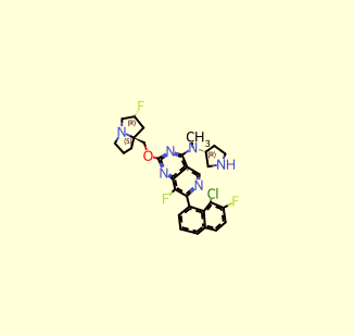 CN(c1nc(OC[C@@]23CCCN2C[C@H](F)C3)nc2c(F)c(-c3cccc4ccc(F)c(Cl)c34)ncc12)[C@@H]1CCNC1